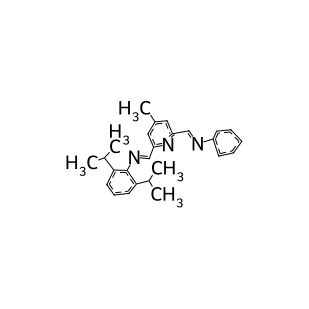 Cc1cc(/C=N/c2ccccc2)nc(/C=N/c2c(C(C)C)cccc2C(C)C)c1